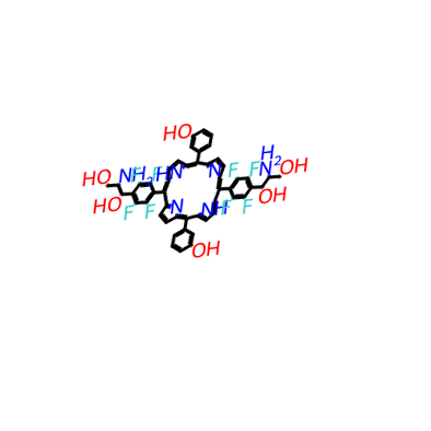 NC(CO)C(O)c1c(F)c(F)c(-c2c3nc(c(-c4cccc(O)c4)c4ccc([nH]4)c(-c4c(F)c(F)c(C(O)C(N)CO)c(F)c4F)c4nc(c(-c5cccc(O)c5)c5ccc2[nH]5)C=C4)C=C3)c(F)c1F